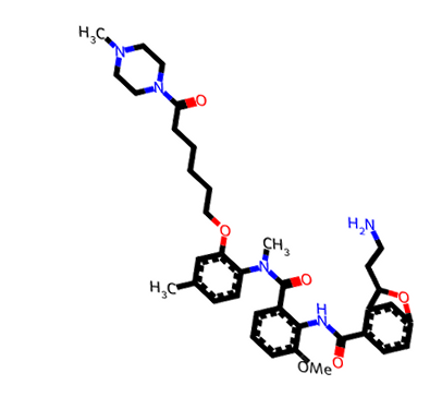 COc1cccc(C(=O)N(C)c2ccc(C)cc2OCCCCCC(=O)N2CCN(C)CC2)c1NC(=O)c1ccc2cc1C(CCN)O2